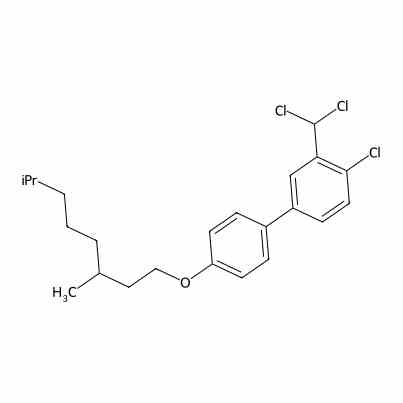 CC(C)CCCC(C)CCOc1ccc(-c2ccc(Cl)c(C(Cl)Cl)c2)cc1